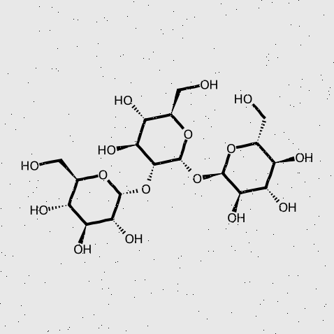 OC[C@H]1O[C@H](O[C@H]2O[C@H](CO)[C@@H](O)[C@H](O)[C@H]2O[C@H]2O[C@H](CO)[C@@H](O)[C@H](O)[C@H]2O)[C@H](O)[C@@H](O)[C@@H]1O